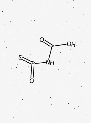 O=C(O)NP(=O)=S